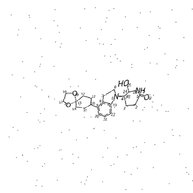 O=C1CC[C@@H](N2CCc3c(C4CCC5(CC4)OCCO5)cccc32)C(O)N1